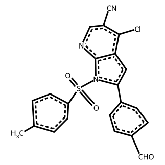 Cc1ccc(S(=O)(=O)n2c(-c3ccc(C=O)cc3)cc3c(Cl)c(C#N)cnc32)cc1